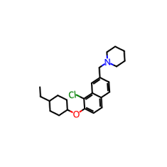 CCC1CCC(Oc2ccc3ccc(CN4CCCCC4)cc3c2Cl)CC1